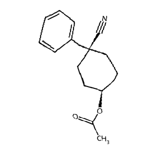 CC(=O)O[C@H]1CC[C@](C#N)(c2ccccc2)CC1